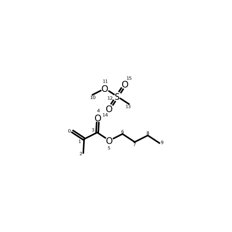 C=C(C)C(=O)OCCCC.COS(C)(=O)=O